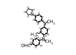 Cc1cc(N(C)c2ccc(N3CCCC3)cc2)ccc1N(C)c1ccc(C=O)cc1